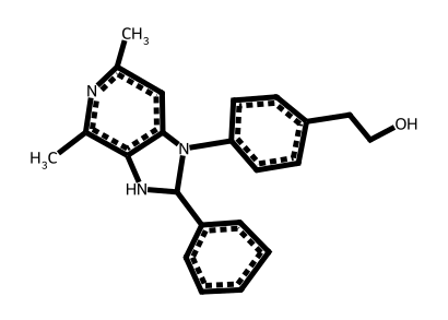 Cc1cc2c(c(C)n1)NC(c1ccccc1)N2c1ccc(CCO)cc1